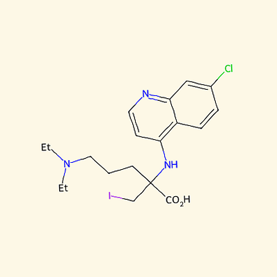 CCN(CC)CCCC(CI)(Nc1ccnc2cc(Cl)ccc12)C(=O)O